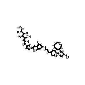 CCOC1CNC(N2CCC(CCCOc3cc(F)c(CC(=O)N4CC[C@H](C(=O)NC[C@H](O)[C@@H](O)[C@H](O)[C@H](O)CO)C4)c(F)c3)CC2)N(C2CCCCCCCC2)C1